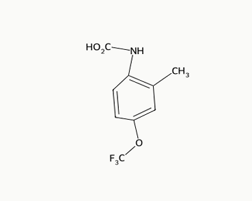 Cc1cc(OC(F)(F)F)ccc1NC(=O)O